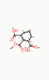 COC(=O)c1c(C(=O)O)cccc1C(=O)O